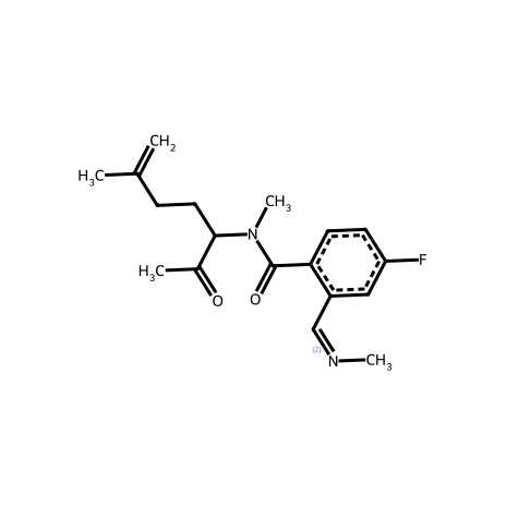 C=C(C)CCC(C(C)=O)N(C)C(=O)c1ccc(F)cc1/C=N\C